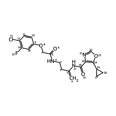 C=C(CCNC(=O)COc1ccc(Cl)c(F)c1)NC(=O)c1ncoc1C1CC1